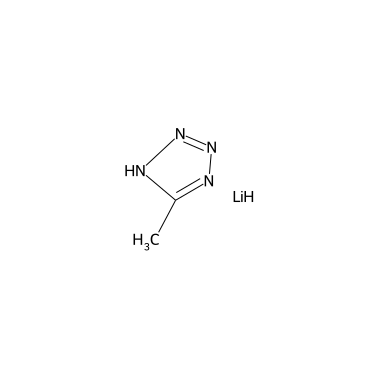 Cc1nnn[nH]1.[LiH]